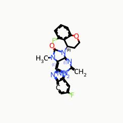 C=C(/N=C1\C(=C/N)N(C)C(=O)N1[C@@H]1CCOc2cccc(F)c21)n1cnc2ccc(F)cc21